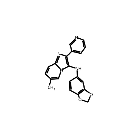 Cc1ccc2nc(-c3cccnc3)c(Nc3ccc4c(c3)OCO4)n2c1